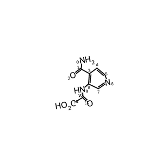 NC(=O)c1ccncc1NC(=O)C(=O)O